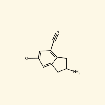 N#Cc1cc(Cl)cc2c1CC(N)C2